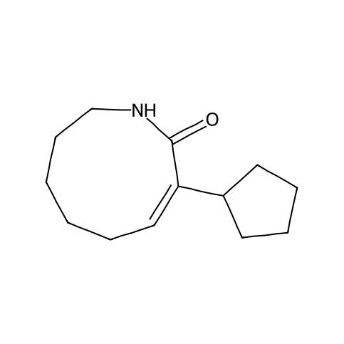 O=C1NCCCCCC=C1C1CCCC1